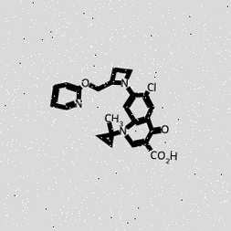 CC1(n2cc(C(=O)O)c(=O)c3cc(Cl)c(N4CCC4COc4ccccn4)cc32)CC1